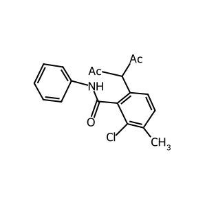 CC(=O)C(C(C)=O)c1ccc(C)c(Cl)c1C(=O)Nc1ccccc1